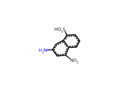 Nc1cc([N+](=O)[O-])c2cccc(S(=O)(=O)O)c2c1